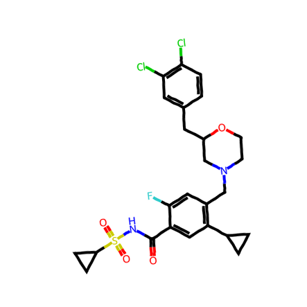 O=C(NS(=O)(=O)C1CC1)c1cc(C2CC2)c(CN2CCOC(Cc3ccc(Cl)c(Cl)c3)C2)cc1F